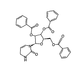 O=C(OC[C@H]1O[C@@H](N2C=CCNC2=O)C(OC(=O)c2ccccc2)C1OC(=O)c1ccccc1)c1ccccc1